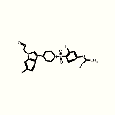 CC(C)Oc1ccc(S(=O)(=O)N2CCC(c3cn(CC=O)c4cc(I)ccc34)CC2)c(F)c1